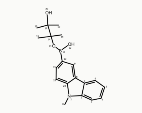 Cn1c2ccccc2c2cc(B(O)OC(C)(C)C(C)(C)O)ccc21